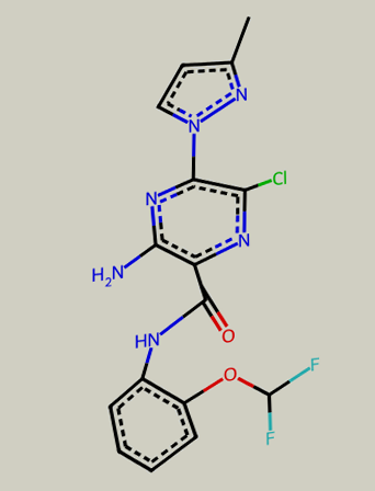 Cc1ccn(-c2nc(N)c(C(=O)Nc3ccccc3OC(F)F)nc2Cl)n1